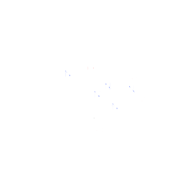 O=C(O)c1nc([N+](=O)[O-])nn1CC(=O)N1CCCCC1